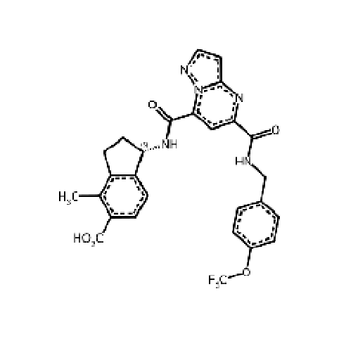 Cc1c(C(=O)O)ccc2c1CC[C@@H]2NC(=O)c1cc(C(=O)NCc2ccc(OC(F)(F)F)cc2)nc2ccnn12